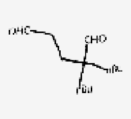 CCCCC([C]=O)(CCC=O)CCCC